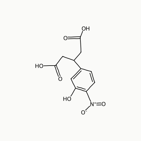 O=C(O)CC(CC(=O)O)c1ccc([N+](=O)[O-])c(O)c1